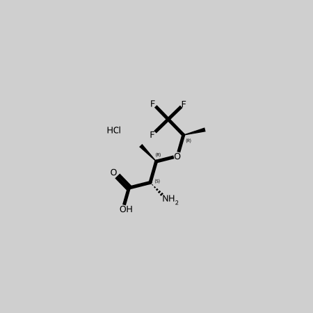 C[C@@H](O[C@H](C)C(F)(F)F)[C@H](N)C(=O)O.Cl